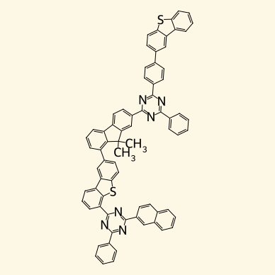 CC1(C)c2cc(-c3nc(-c4ccccc4)nc(-c4ccc(-c5ccc6sc7ccccc7c6c5)cc4)n3)ccc2-c2cccc(-c3ccc4sc5c(-c6nc(-c7ccccc7)nc(-c7ccc8ccccc8c7)n6)cccc5c4c3)c21